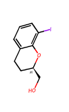 OC[C@H]1CCc2cccc(I)c2O1